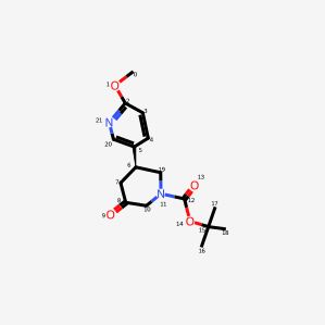 COc1ccc([C@@H]2CC(=O)CN(C(=O)OC(C)(C)C)C2)cn1